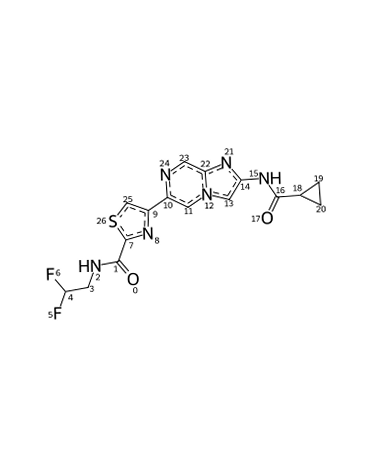 O=C(NCC(F)F)c1nc(-c2cn3cc(NC(=O)C4CC4)nc3cn2)cs1